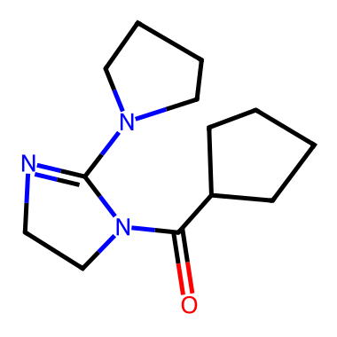 O=C(C1CCCC1)N1CCN=C1N1CCCC1